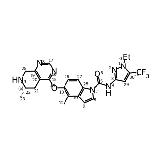 CCn1nc(NC(=O)n2ccc3c(C)c(Oc4ncnc5c4C[C@H](C)NC5)ccc32)cc1C(F)(F)F